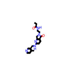 CCC(=O)NCCN1Cc2nc(NCc3cnccc3C)ccc2C1=O